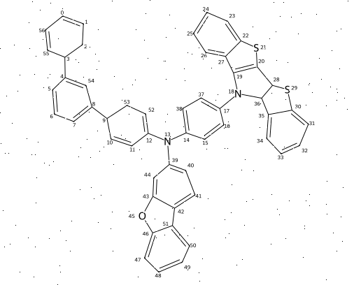 C1=CCC(c2cccc(C3C=CC(N(c4ccc(N5c6c(sc7ccccc67)C6Sc7ccccc7C65)cc4)c4ccc5c(c4)oc4ccccc45)=CC3)c2)C=C1